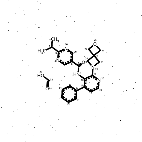 CC(C)c1ncc(C(=O)Nc2c(-c3ccccc3)ccnc2N2CC3(COC3)C2)cn1.O=CO